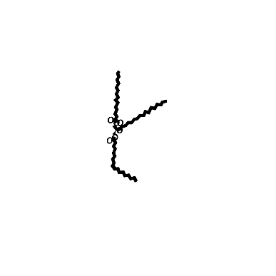 CCCCCCCC/C=C\CCCCCCCC(=O)OC[C@H](COC(=O)CCCCCCCCCCCCCCC)OC(=O)CCCCCCCCCCCCCCC